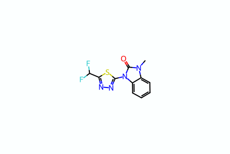 Cn1c(=O)n(-c2nnc(C(F)F)s2)c2ccccc21